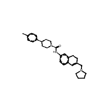 Cc1ccc(C2CCN(C(=O)Nc3ccc4c(c3)CCC(CN3CCCC3)=C4)CC2)cc1